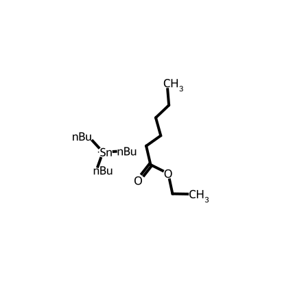 CCCCCC(=O)OCC.CCC[CH2][Sn]([CH2]CCC)[CH2]CCC